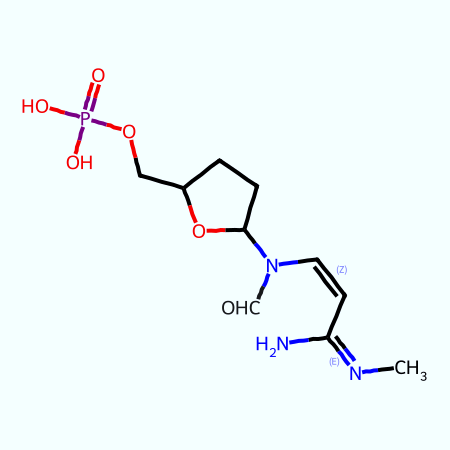 C/N=C(N)\C=C/N(C=O)C1CCC(COP(=O)(O)O)O1